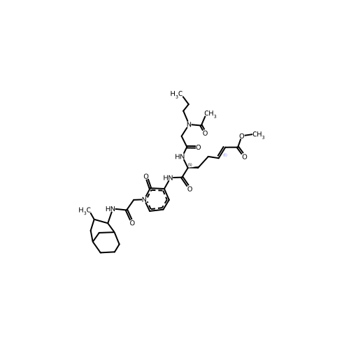 CCCN(CC(=O)N[C@@H](CC/C=C/C(=O)OC)C(=O)Nc1cccn(CC(=O)NC2C(C)CC3CCCC2C3)c1=O)C(C)=O